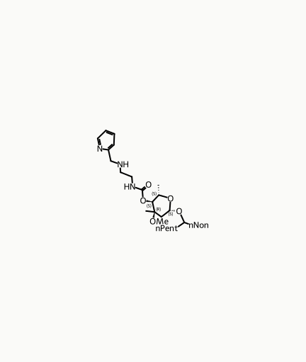 CCCCCCCCCC(CCCCC)O[C@@H]1C[C@@](C)(OC)[C@@H](OC(=O)NCCNCc2ccccn2)[C@H](C)O1